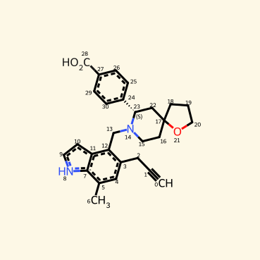 C#CCc1cc(C)c2[nH]ccc2c1CN1CCC2(CCCO2)C[C@H]1c1ccc(C(=O)O)cc1